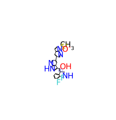 C[S+]([O-])n1ccc2cc(-c3cnc4[nH]cc(/C(O)=C(/C=N)c5cccc(F)c5F)c4c3)cnc21